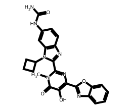 Cn1c(-c2nc3ccc(NC(N)=O)cc3n2C2CCC2)nc(-c2nc3ccccc3o2)c(O)c1=O